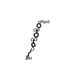 CCCCC[C@H]1CC[C@H](OC(=O)c2ccc(OC(=O)c3ccc(OCCCCC[C@@H](C)CC)cc3)cc2)CC1